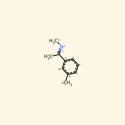 C/N=C(\C)c1cccc(C)c1